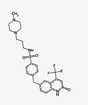 CN1CCN(CCCNS(=O)(=O)c2ccc(Cc3ccc4[nH]c(=O)cc(C(F)(F)F)c4c3)cc2)CC1